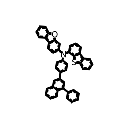 c1ccc(-c2cc(-c3ccc(N(c4ccc5c(c4)oc4ccccc45)c4cccc5c4sc4ccccc45)cc3)cc3ccccc23)cc1